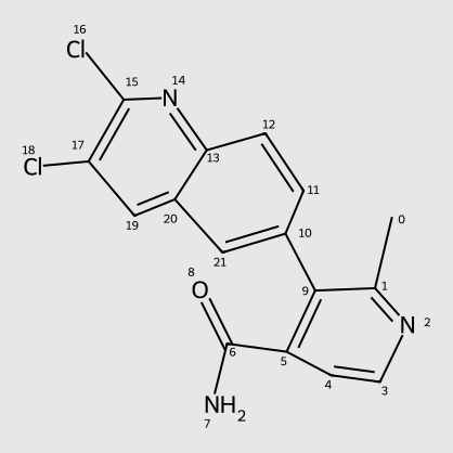 Cc1nccc(C(N)=O)c1-c1ccc2nc(Cl)c(Cl)cc2c1